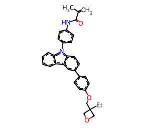 C=C(C)C(=O)Nc1ccc(-n2c3ccccc3c3cc(-c4ccc(OCC5(CC)COC5)cc4)ccc32)cc1